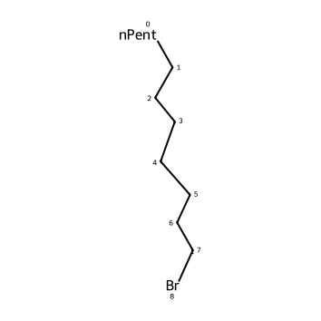 CC[CH]CCCCCCCC[CH]Br